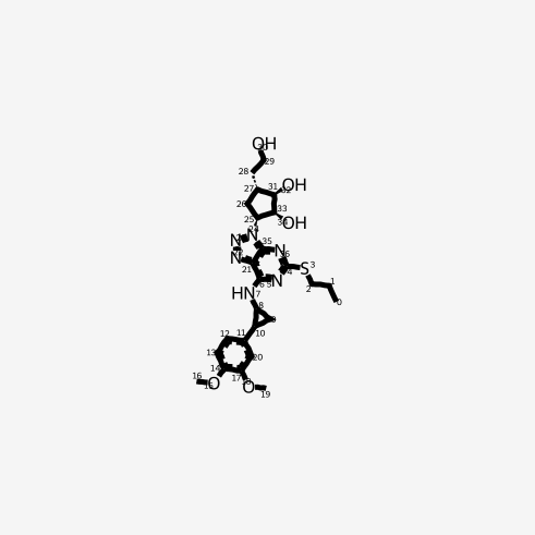 CCCSc1nc(NC2CC2c2ccc(OC)c(OC)c2)c2nnn([C@@H]3C[C@H](CCO)[C@@H](O)[C@H]3O)c2n1